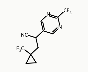 N#CC(CC1(C(F)(F)F)CC1)c1cnc(C(F)(F)F)nc1